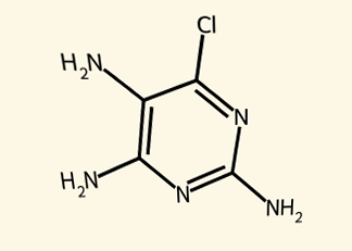 Nc1nc(N)c(N)c(Cl)n1